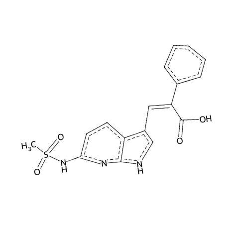 CS(=O)(=O)Nc1ccc2c(C=C(C(=O)O)c3ccccc3)c[nH]c2n1